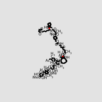 COc1c(C)c(OC2OC(C)C(O)C(OC)C2O)c(I)c(C)c1C(=O)SC1C(O)CC(ONC2C(C)OC(O[C@H]3C#C/C=C\C#C[C@]4(O)CC(=O)C(CC(C)=O)=C3/C4=C/CSSC(C)(C)CCC(=O)CCCNC(=O)OCc3ccc(NC(=O)[C@H](C)CC(=O)[C@H](Cc4c[nH]c5ccccc45)NC(=O)CCCCCN4C(=O)C=CC4=O)cc3)C(OC3CC(C)C(CC(C)=O)CO3)C2O)OC1C